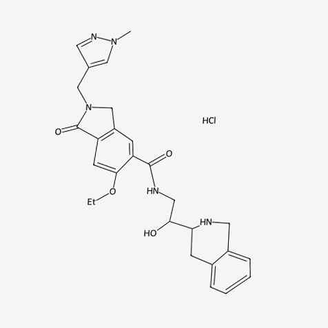 CCOc1cc2c(cc1C(=O)NCC(O)C1Cc3ccccc3CN1)CN(Cc1cnn(C)c1)C2=O.Cl